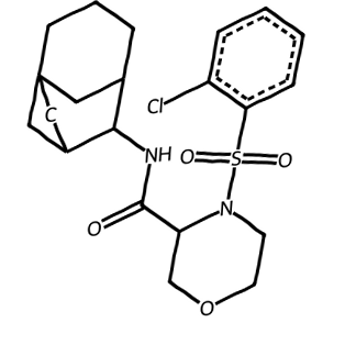 O=C(NC1C2CCCC3(C2)CC1C3)C1COCCN1S(=O)(=O)c1ccccc1Cl